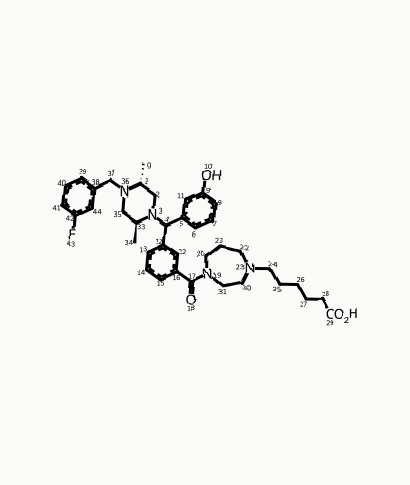 C[C@@H]1CN(C(c2cccc(O)c2)c2cccc(C(=O)N3CCCN(CCCCCC(=O)O)CC3)c2)[C@@H](C)CN1Cc1cccc(F)c1